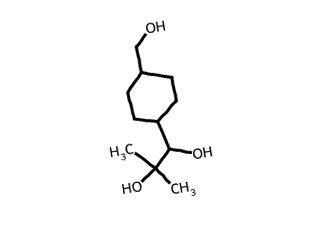 CC(C)(O)C(O)C1CCC(CO)CC1